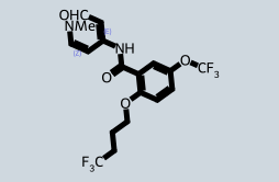 CN/C=C\C(=C/C=O)NC(=O)c1cc(OC(F)(F)F)ccc1OCCCC(F)(F)F